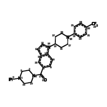 CC(C)N1CCN(C(=O)c2ccc3c(ccn3C3CCN(c4ccc(C(F)(F)F)cc4)CC3)c2)CC1